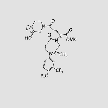 COC(=O)[C@H](CCC(=O)N1CCC2(CC2)[C@H](O)C1)N1C[C@@H](C)N(c2ccc(C(F)(F)F)c(C(F)(F)F)c2)CCC1=O